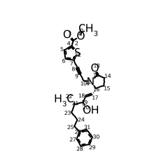 COC(=O)c1ccc(C#CCN2C(=O)CC[C@@H]2/C=C/[C@@H](O)C(C)CCCc2ccccc2)s1